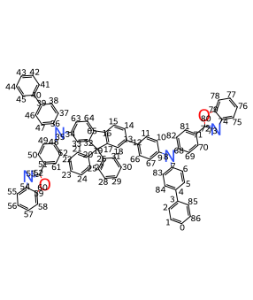 c1ccc(-c2ccc(N(c3ccc(-c4ccc5c(c4)C(c4ccccc4)(c4ccccc4)c4cc(N(c6ccc(-c7ccccc7)cc6)c6ccc(-c7nc8ccccc8o7)cc6)ccc4-5)cc3)c3ccc(-c4nc5ccccc5o4)cc3)cc2)cc1